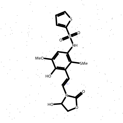 COc1cc(NS(=O)(=O)c2cccs2)c(SC)c(/C=C/N2C(=O)OCC2O)c1O